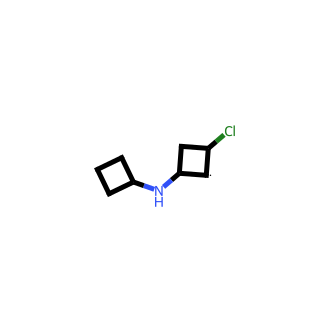 ClC1[CH]C(NC2CCC2)C1